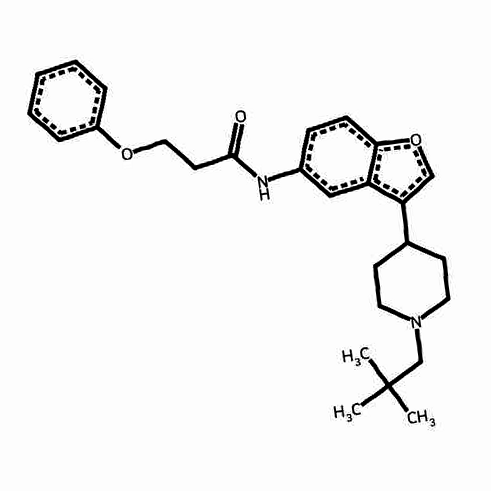 CC(C)(C)CN1CCC(c2coc3ccc(NC(=O)CCOc4ccccc4)cc23)CC1